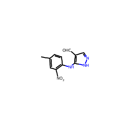 Cc1ccc(Nc2[nH]ncc2C=O)c([N+](=O)[O-])c1